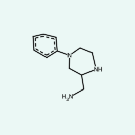 NCC1CN(c2ccccc2)CCN1